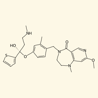 CNCC[C@@](O)(Oc1ccc(CN2CCN(C)c3cc(OC)ncc3C2=O)c(C)c1)c1cccs1